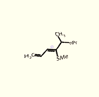 C=C/C=C(\SC)C(C)CCC